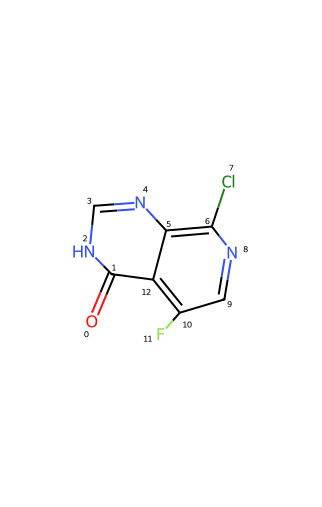 O=c1[nH]cnc2c(Cl)ncc(F)c12